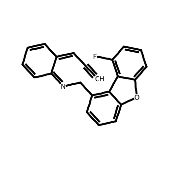 C#C/C=C1/C=CC=C/C1=N/Cc1cccc2oc3cccc(F)c3c12